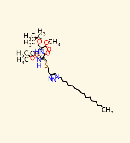 CCCCCCCCCCCCCCCCn1cc(CCSC[C@H](NC(=O)OC(C)(C)C)C(=O)N[C@@H](COC(C)(C)C)C(=O)OC)nn1